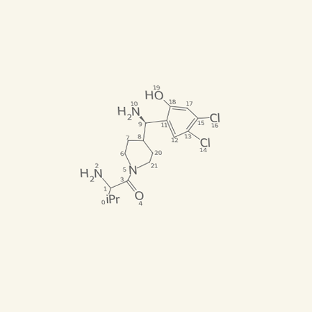 CC(C)C(N)C(=O)N1CCC([C@@H](N)c2cc(Cl)c(Cl)cc2O)CC1